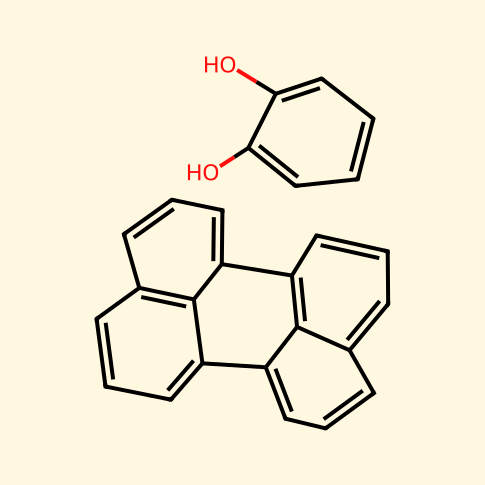 Oc1ccccc1O.c1cc2cccc3c4cccc5cccc(c(c1)c23)c54